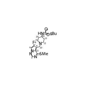 CSc1ncnn2cc(F)c(CN3CCC(NC(=O)OC(C)(C)C)CC3)c12